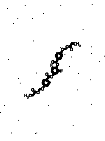 C=CC(=O)OCOc1ccc(C(=O)Oc2cc(F)c(OC(=O)c3ccc(OCOC(=O)C=C)cc3)c(F)c2)cc1